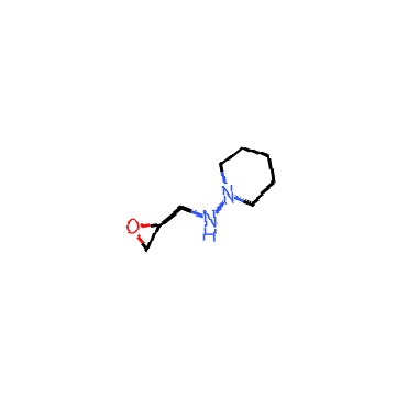 C1CCN(NCC2CO2)CC1